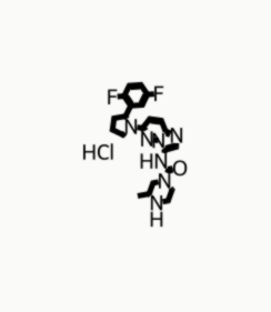 CC1CN(C(=O)Nc2cnc3ccc(N4CCCC4c4cc(F)ccc4F)nn23)CCN1.Cl